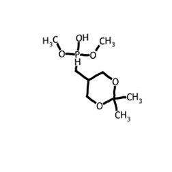 CO[PH](O)(CC1COC(C)(C)OC1)OC